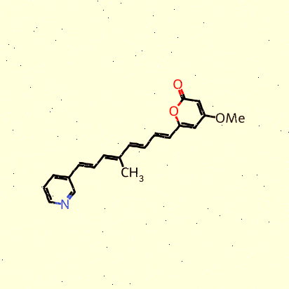 COc1cc(/C=C/C=C/C(C)=C/C=C/c2cccnc2)oc(=O)c1